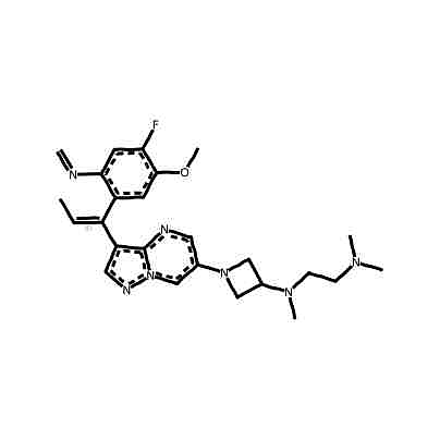 C=Nc1cc(F)c(OC)cc1/C(=C\C)c1cnn2cc(N3CC(N(C)CCN(C)C)C3)cnc12